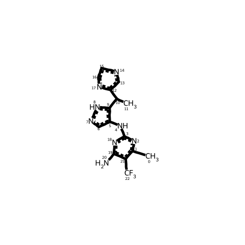 Cc1nc(Nc2cn[nH]c2C(C)c2cnccn2)nc(N)c1C(F)(F)F